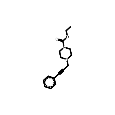 CCOC(=O)N1CCN(CC#Cc2ccccc2)CC1